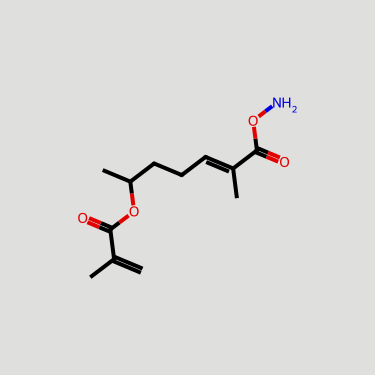 C=C(C)C(=O)OC(C)CC/C=C(\C)C(=O)ON